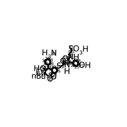 CCCCC1(CC)CS(=O)(=O)c2ccc(SCC(=O)N[C@@H](C(=O)NCCS(=O)(=O)O)c3ccc(O)cc3)cc2C(c2ccccc2)C1O.N